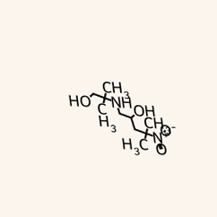 CC(C)(CO)NCC(O)CC(C)(C)[N+](=O)[O-]